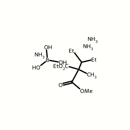 CCOC(=O)C(C)(C(=O)OC)C(CC)CC.N.N.N.OB(O)O